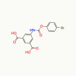 O=C(Nc1cc(C(=O)O)cc(C(=O)O)c1)Oc1ccc(Br)cc1